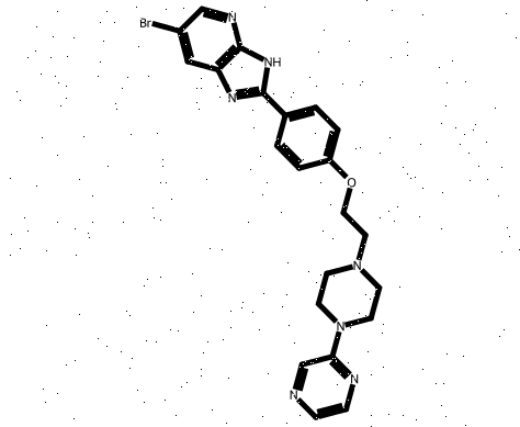 Brc1cnc2[nH]c(-c3ccc(OCCN4CCN(c5cnccn5)CC4)cc3)nc2c1